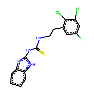 S=C(NCCc1cc(Cl)cc(Cl)c1Cl)Nc1nc2ccccc2[nH]1